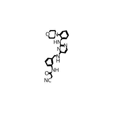 N#CCC(=O)Nc1cccc(CNc2ccnc(Nc3ccccc3N3CCOCC3)n2)c1